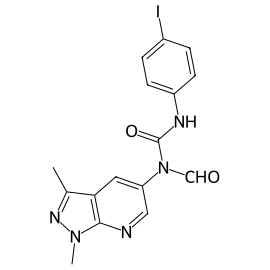 Cc1nn(C)c2ncc(N(C=O)C(=O)Nc3ccc(I)cc3)cc12